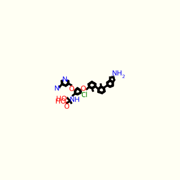 Cc1c(COc2cc(OCc3cncc(C#N)c3)c(CNC(C)(CO)C(=O)O)cc2Cl)cccc1-c1cccc(-c2ccc3c(c2)C[C@H](N)C3)c1C